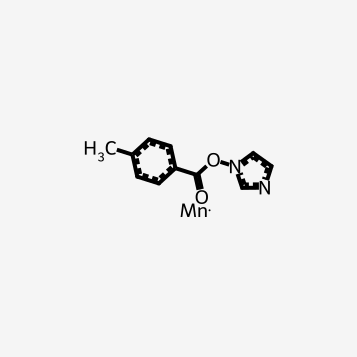 Cc1ccc(C(=O)On2ccnc2)cc1.[Mn]